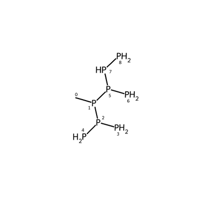 CP(P(P)P)P(P)PP